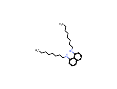 CCCCCCCCNc1cccc2cccc(NCCCCCCCC)c12